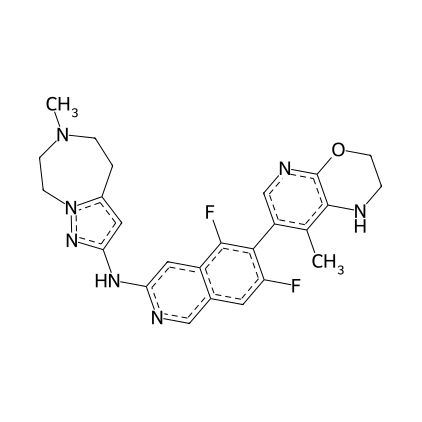 Cc1c(-c2c(F)cc3cnc(Nc4cc5n(n4)CCN(C)CC5)cc3c2F)cnc2c1NCCO2